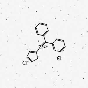 C1=CC[C]([Zr+2]=[C](c2ccccc2)c2ccccc2)=C1.[Cl-].[Cl-]